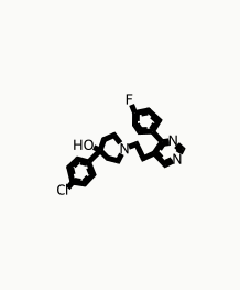 OC1(c2ccc(Cl)cc2)CCN(CCc2cncnc2-c2ccc(F)cc2)CC1